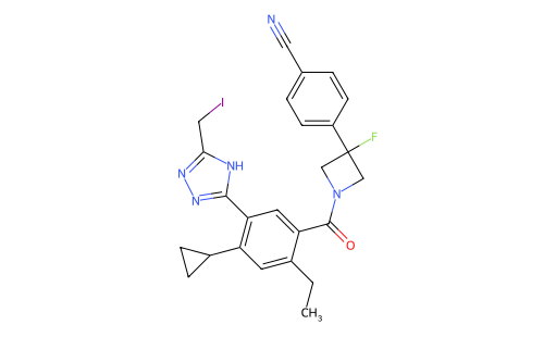 CCc1cc(C2CC2)c(-c2nnc(CI)[nH]2)cc1C(=O)N1CC(F)(c2ccc(C#N)cc2)C1